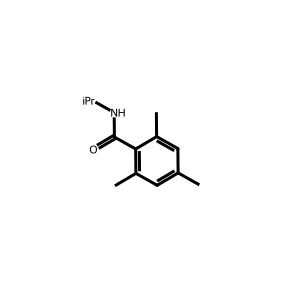 Cc1cc(C)c(C(=O)NC(C)C)c(C)c1